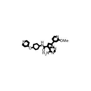 COc1cc(-c2cc(C(=O)NC3CCC(Oc4ccncc4)CC3)c3c(N)ncnn23)ccn1